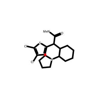 CNC(=O)C(c1cc(Cl)c(Cl)s1)C1CCCCC1N1CCCC1